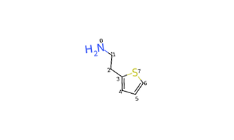 N[CH]Cc1cccs1